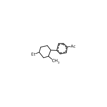 CCC1CCC(c2ccc(C(C)=O)cc2)C(C)C1